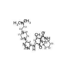 Cc1cc(Nc2cc(N3CCN(CCN(C)C)CC3)ncn2)c(=O)n2c1C(=O)NC21CCCCC1